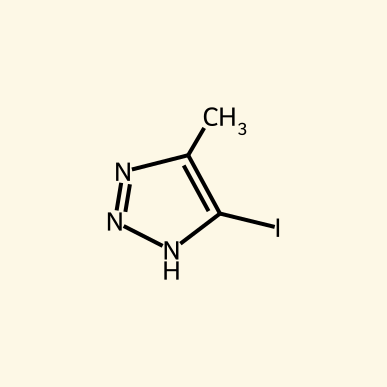 Cc1nn[nH]c1I